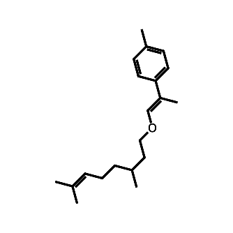 CC(C)=CCCC(C)CCO/C=C(\C)c1ccc(C)cc1